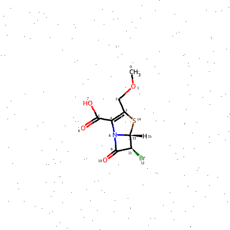 COCC1=C(C(=O)O)N2C(=O)[C@H](Br)[C@H]2S1